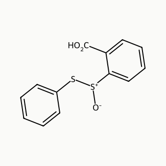 O=C(O)c1ccccc1[S+]([O-])Sc1ccccc1